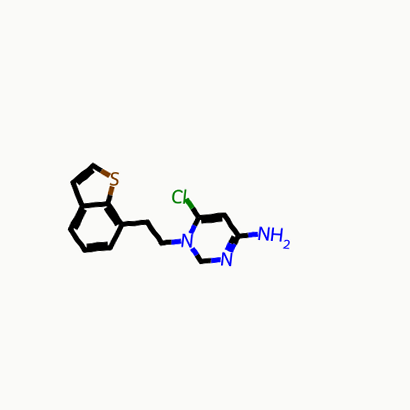 NC1=NCN(CCc2cccc3ccsc23)C(Cl)=C1